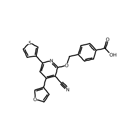 N#Cc1c(-c2ccoc2)cc(-c2ccsc2)nc1OCc1ccc(C(=O)O)cc1